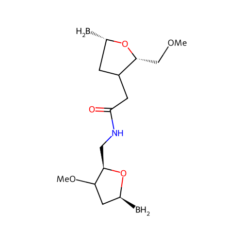 B[C@H]1CC(CC(=O)NC[C@H]2O[C@@H](B)CC2OC)[C@@H](COC)O1